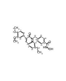 COc1ccc(C(=Cc2ccc(SC)cc2)C(=O)NCc2ccc(C(=O)NO)cc2)cc1OC